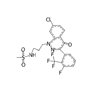 CS(=O)(=O)NCCCn1nc(-c2cccc(F)c2C(F)(F)F)c(=O)c2ccc(Cl)cc21